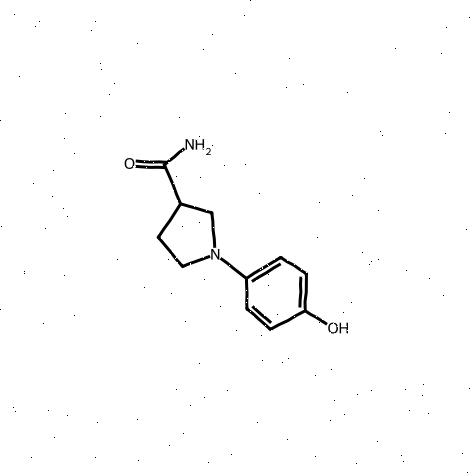 NC(=O)C1CCN(c2ccc(O)cc2)C1